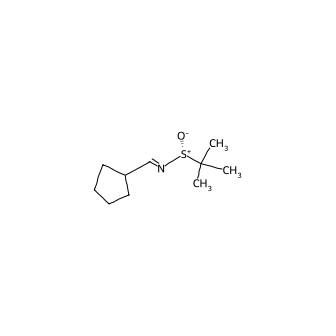 CC(C)(C)[S@@+]([O-])/N=C/C1CCCC1